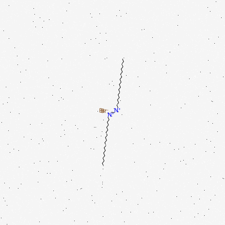 CCCCCCCCCCCCCCCCCCCC[N+](C)(C)CC[N+](C)(C)CCCCCCCCCCCCCCCCCCCC.[Br-].[Br-]